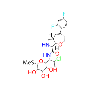 CSC1OC([C@H](NC(=O)[C@H]2NC[C@@H]3C=C(c4ccc(F)cc4F)CCO[C@@H]23)[C@H](C)Cl)C(O)C(O)C1O